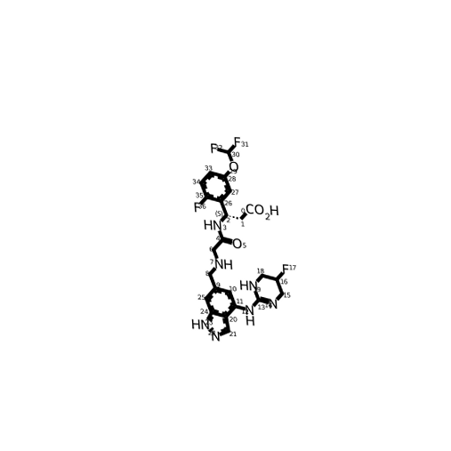 O=C(O)C[C@H](NC(=O)CNCc1cc(NC2=NCC(F)CN2)c2cn[nH]c2c1)c1cc(OC(F)F)ccc1F